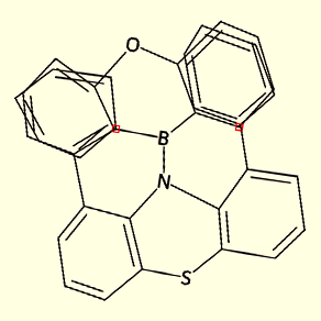 c1ccc(-c2cccc3c2N(B2c4ccccc4Oc4ccccc42)c2c(cccc2-c2ccccc2)S3)cc1